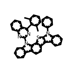 Cc1cccc(C)c1-c1nc(-n2c3ccccc3c3ccc4c(sc5c4c4ccccc4n5-c4ccccc4)c32)nc2ccccc12